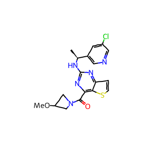 COC1CN(C(=O)c2nc(N[C@@H](C)c3cncc(Cl)c3)nc3ccsc23)C1